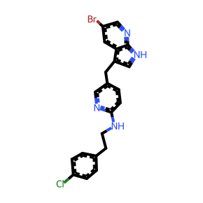 Clc1ccc(CCNc2ccc(Cc3c[nH]c4ncc(Br)cc34)cn2)cc1